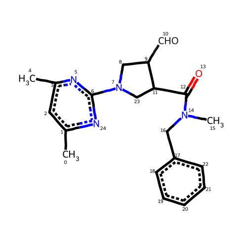 Cc1cc(C)nc(N2CC(C=O)C(C(=O)N(C)Cc3ccccc3)C2)n1